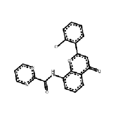 O=C(Nc1cccc2c(=O)cc(-c3ccccc3Cl)oc12)c1ncccn1